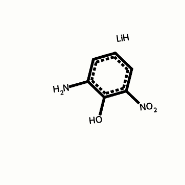 Nc1cccc([N+](=O)[O-])c1O.[LiH]